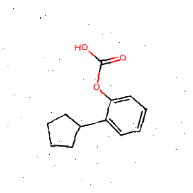 O=C(O)Oc1ccccc1C1CCCC1